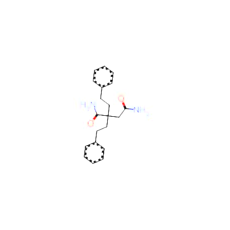 NC(=O)CC(CCc1ccccc1)(CCc1ccccc1)C(N)=O